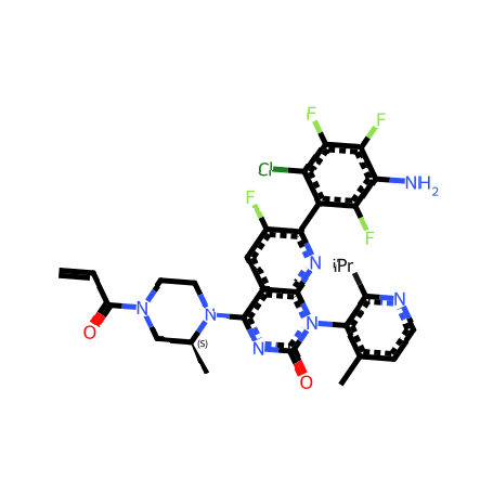 C=CC(=O)N1CCN(c2nc(=O)n(-c3c(C)ccnc3C(C)C)c3nc(-c4c(F)c(N)c(F)c(F)c4Cl)c(F)cc23)[C@@H](C)C1